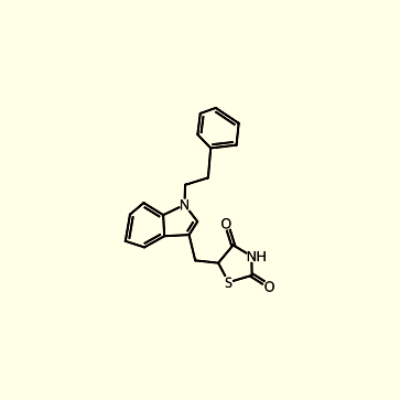 O=C1NC(=O)C(Cc2cn(CCc3ccccc3)c3ccccc23)S1